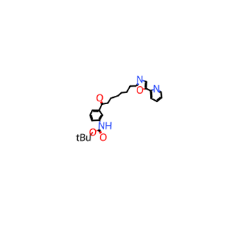 CC(C)(C)OC(=O)Nc1cccc(C(=O)CCCCCCc2ncc(-c3ccccn3)o2)c1